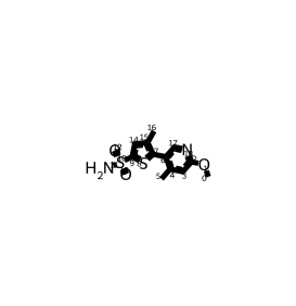 COc1cc(C)c(-c2sc(S(N)(=O)=O)cc2C)cn1